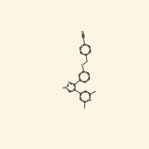 Cc1cc(-c2c[nH]nc2-c2cccc(OCc3ccc(C#N)cc3)c2)cc(C)n1